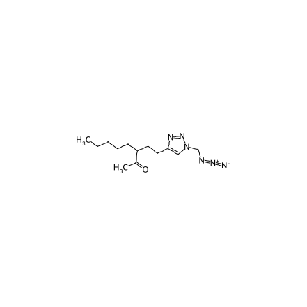 CCCCCC(CCc1cn(CN=[N+]=[N-])nn1)C(C)=O